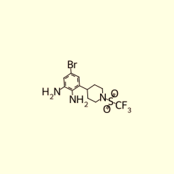 Nc1cc(Br)cc(C2CCN(S(=O)(=O)C(F)(F)F)CC2)c1N